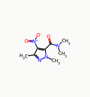 Cc1nn(C)c(C(=O)N(C)C)c1[N+](=O)[O-]